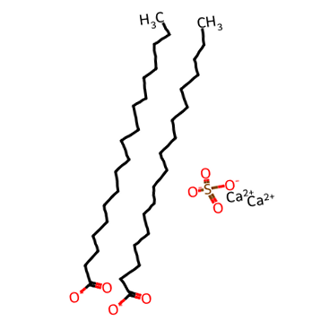 CCCCCCCCCCCCCCCCCC(=O)[O-].CCCCCCCCCCCCCCCCCC(=O)[O-].O=S(=O)([O-])[O-].[Ca+2].[Ca+2]